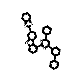 c1ccc(-c2cccc(-c3cc(-c4ccccc4)nc(-c4cccc5oc6cc(-c7nc8ccccc8s7)ccc6c45)n3)c2)cc1